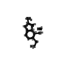 Br.COc1ccc2sc(N)nc2c1Cl